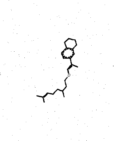 CC(C)=CCCC(C)CCO/C=C(\C)c1ccc2c(c1)CCCC2